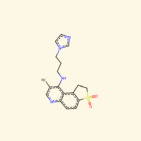 N#Cc1cnc2ccc3c(c2c1NCCCn1ccnc1)CCS3(=O)=O